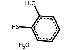 Cc1ccccc1S.O